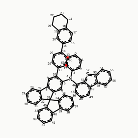 c1ccc(N(c2cc3c(cc2-c2ccc(-c4ccc5c(c4)CCCC5)cc2)-c2ccccc2C32c3ccccc3-c3ccccc32)c2cccc3c2sc2ccccc23)cc1